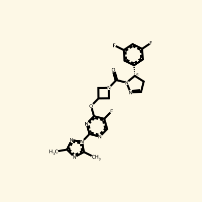 Cc1nc(C)n(-c2ncc(F)c(OC3CN(C(=O)N4N=CC[C@H]4c4cc(F)cc(F)c4)C3)n2)n1